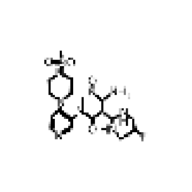 CS(=O)(=O)N1CCN(c2ccncc2NC(=O)C(C(N)N=O)C2NCC(F)CN2)CC1